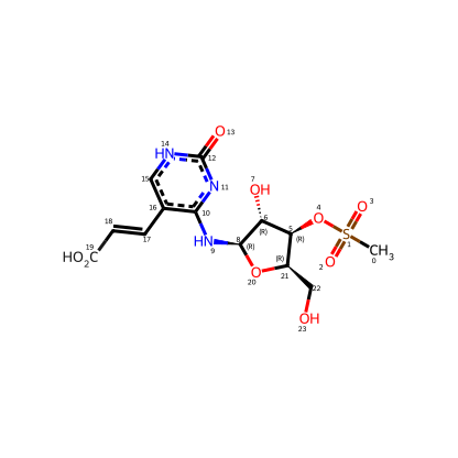 CS(=O)(=O)O[C@@H]1[C@@H](O)[C@H](Nc2nc(=O)[nH]cc2C=CC(=O)O)O[C@@H]1CO